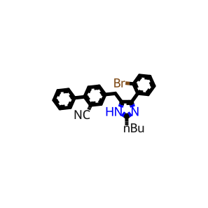 CCCCc1nc(-c2ccccc2Br)c(Cc2ccc(-c3ccccc3)c(C#N)c2)[nH]1